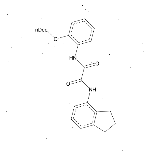 CCCCCCCCCCOc1ccccc1NC(=O)C(=O)Nc1cccc2c1CCC2